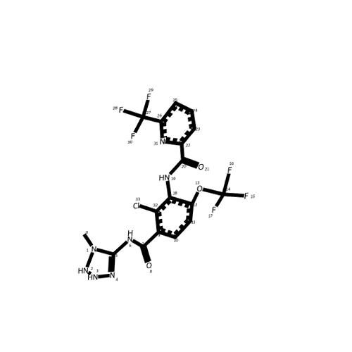 CN1NNN=C1NC(=O)c1ccc(OC(F)(F)F)c(NC(=O)c2cccc(C(F)(F)F)n2)c1Cl